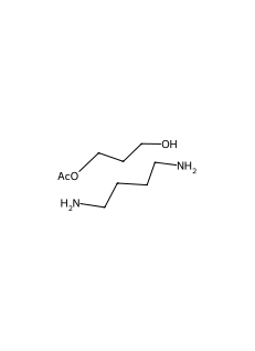 CC(=O)OCCCO.NCCCCN